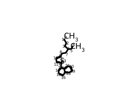 CCCCC(CC)CCc1ccc(-c2cccc3ccccc23)s1